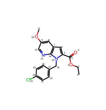 CCOC(=O)c1cc2cc(OC)cnc2n1Cc1ccc(Cl)cc1